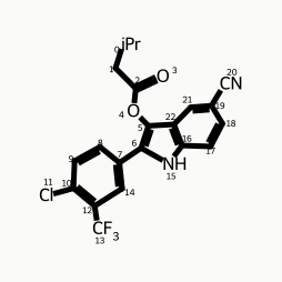 CC(C)CC(=O)Oc1c(-c2ccc(Cl)c(C(F)(F)F)c2)[nH]c2ccc(C#N)cc12